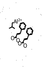 CC(C)[CH2][Al+2].O=C([O-])C=Cc1ccccc1.O=C([O-])C=Cc1ccccc1